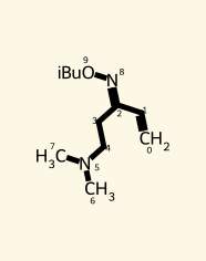 C=C/C(CCN(C)C)=N/OCC(C)C